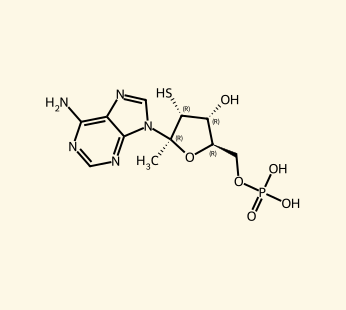 C[C@@]1(n2cnc3c(N)ncnc32)O[C@H](COP(=O)(O)O)[C@@H](O)[C@H]1S